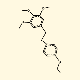 CCOc1ccc(CCc2cc(OC)c(OC)c(OC)c2)cc1